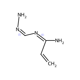 C=C/C(N)=N\C=N/N